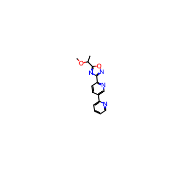 COC(C)c1nc(-c2ccc(-c3ccccn3)cn2)no1